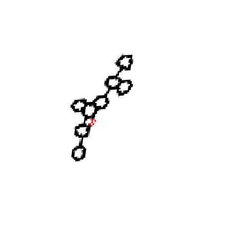 c1ccc(-c2ccc3c(c2)oc2c4ccc(-c5ccc(-c6ccccc6)c6ccccc56)cc4c4ccccc4c32)cc1